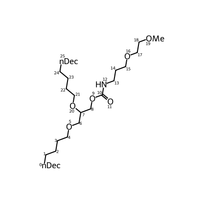 CCCCCCCCCCCCCCOCC(COC(=O)NCCCOCCOC)OCCCCCCCCCCCCCC